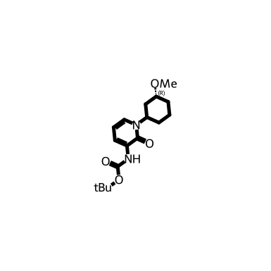 CO[C@@H]1CCCC(n2cccc(NC(=O)OC(C)(C)C)c2=O)C1